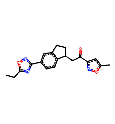 CCc1nc(-c2ccc3c(c2)CC[C@H]3CC(=O)c2cc(C)on2)no1